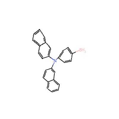 Bc1ccc(N(c2ccc3ccccc3c2)c2ccc3ccccc3c2)cc1